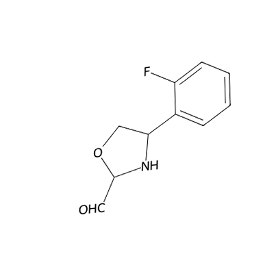 O=CC1NC(c2ccccc2F)CO1